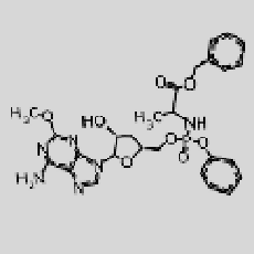 COc1nc(N)c2ncn(C3O[C@H](COP(=O)(N[C@@H](C)C(=O)OCc4ccccc4)Oc4ccccc4)C[C@@H]3O)c2n1